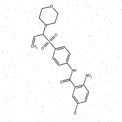 C=CC(N1CCOCC1)S(=O)(=O)c1ccc(NC(=O)c2cc(Cl)ccc2[N+](=O)[O-])cc1